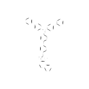 c1ccc(-c2ccc(N(c3ccc(-c4ccccc4)cc3)c3ccc(-c4ccc(-c5nc6ccc7ccccc7c6o5)cc4)cc3)cc2)cc1